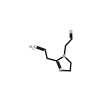 C=CCC1=NCCN1CC=O